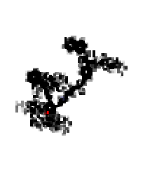 CC(C)[Si](O[C@@H](CCc1ccccc1)CC[C@@H]1[C@@H](C/C=C/CCCC(=O)OCc2ccc(C(CNC(=O)OC(C)(C)C)C(=O)Nc3ccc4cnccc4c3)cc2)[C@@H](O[Si](C(C)C)(C(C)C)C(C)C)C[C@H]1O[Si](C(C)C)(C(C)C)C(C)C)(C(C)C)C(C)C